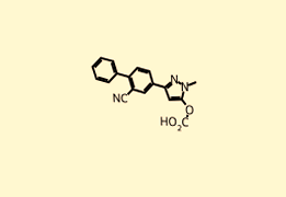 Cn1nc(-c2ccc(-c3ccccc3)c(C#N)c2)cc1OC(=O)O